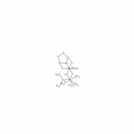 CC(C)C(C)CN1CC2CCC(C1)N2C(=O)OC(C)(C)C